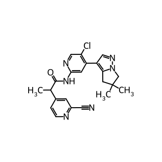 CC(C(=O)Nc1cc(-c2cnn3c2CC(C)(C)C3)c(Cl)cn1)c1ccnc(C#N)c1